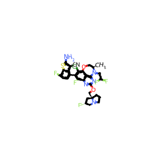 C[C@H]1COc2c(Cl)c(-c3ccc(F)c4sc(N)c(C#N)c34)c(F)c3nc(OC[C@@]45CCCN4C[C@H](F)C5)nc(c23)N1CC(F)F